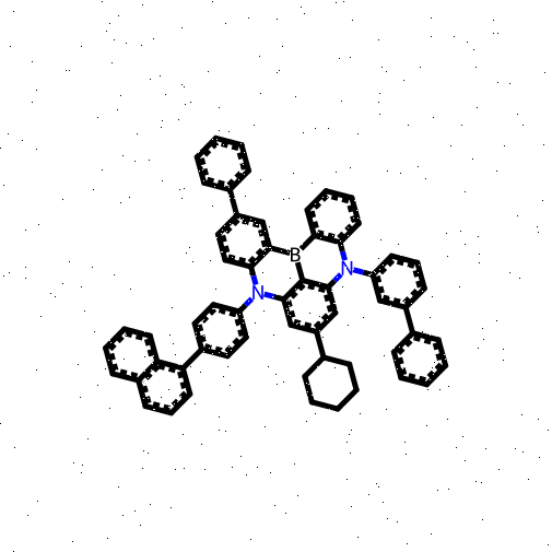 c1ccc(-c2cccc(N3c4ccccc4B4c5cc(-c6ccccc6)ccc5N(c5ccc(-c6cccc7ccccc67)cc5)c5cc(C6CCCCC6)cc3c54)c2)cc1